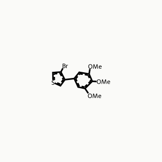 COc1cc(-c2cscc2Br)cc(OC)c1OC